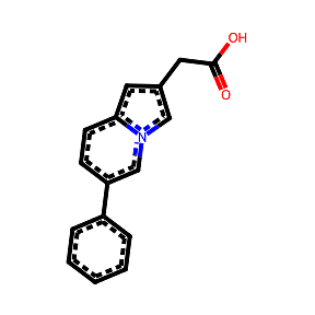 O=C(O)Cc1cc2ccc(-c3ccccc3)cn2c1